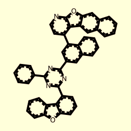 c1ccc(-c2nc(-c3cc(-c4ccnc5oc6cc7ccccc7cc6c45)c4ccccc4c3)nc(-c3cccc4oc5ccccc5c34)n2)cc1